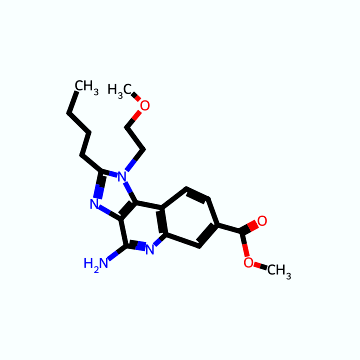 CCCCc1nc2c(N)nc3cc(C(=O)OC)ccc3c2n1CCOC